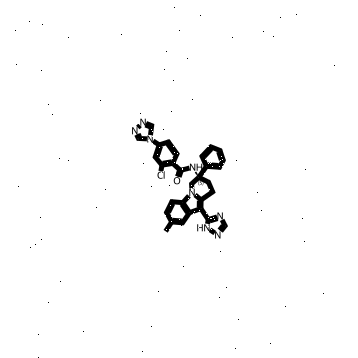 Cc1ccc2c(c1)c(-c1ncn[nH]1)c1n2C[C@@](NC(=O)c2ccc(-n3cnnc3)cc2Cl)(c2ccccc2)CC1